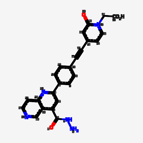 NNC(=O)c1cc(-c2ccc(C#Cc3ccn(CC(=O)O)c(=O)c3)cc2)nc2ccncc12